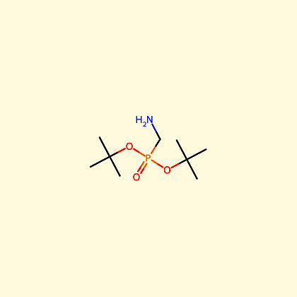 CC(C)(C)OP(=O)(CN)OC(C)(C)C